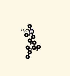 CCC1/C=[N+](/Cc2ccccc2)C(c2cccc(-c3cccc4oc5c(-c6cc(-n7c8ccccc8c8cc(-c9ccccc9)ccc87)cc7oc8ccccc8c67)cccc5c34)c2)CC/C=C\1c1ccccc1